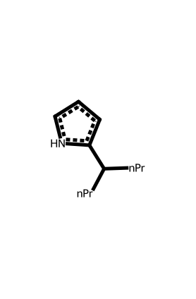 CCCC(CCC)c1ccc[nH]1